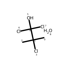 CC(C)(Cl)C(O)(Cl)Cl.O